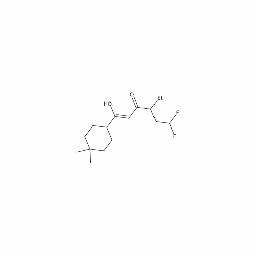 CCC(CC(F)F)C(=O)/C=C(\O)C1CCC(C)(C)CC1